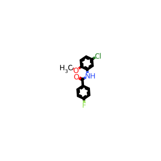 COc1ccc(Cl)cc1NC(=O)c1ccc(F)cc1